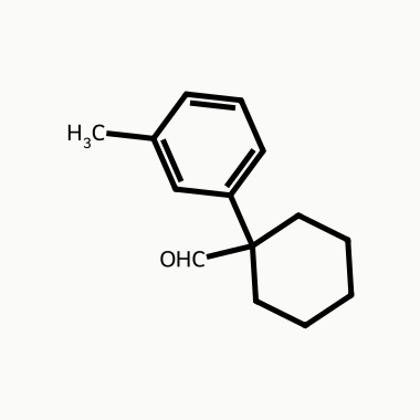 Cc1cccc(C2(C=O)CCCCC2)c1